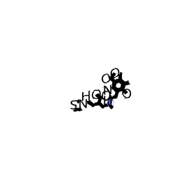 CNc1c(C/C=C(\C)CC(CCN2CCSC2)C(=O)O)c(OC)c(C)c2c1C(=O)OC2